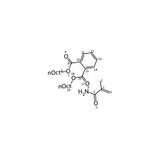 C=C(C)C(N)=O.CCCCCCCCOC(=O)c1ccccc1C(=O)OCCCCCCCC